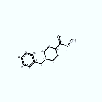 O=C(NO)C1CCN(Cc2ccccc2)CC1